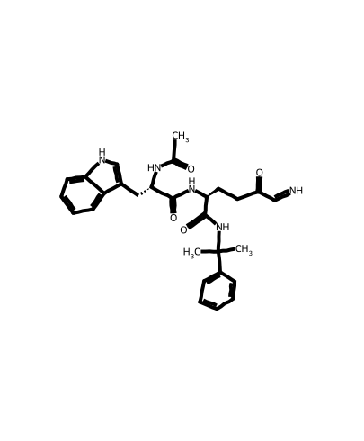 CC(=O)N[C@@H](Cc1c[nH]c2ccccc12)C(=O)N[C@@H](CCC(=O)C=N)C(=O)NC(C)(C)c1ccccc1